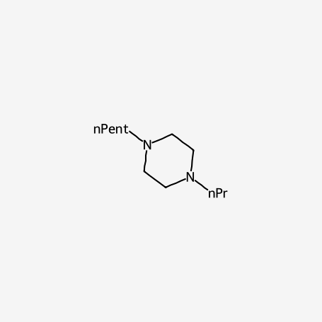 [CH2]CCN1CCN(CCCCC)CC1